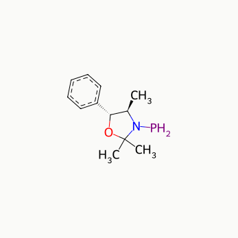 C[C@@H]1[C@@H](c2ccccc2)OC(C)(C)N1P